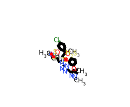 COc1cccc(OC)c1-n1c(-c2ccn(C)n2)nnc1N(CCSI)SCC(OC)c1ccc(Cl)cc1OSN(C)C.S